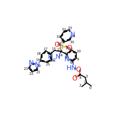 CC(C)CC(=O)ONc1cccc(C(N)(Cc2ccc(-n3cccn3)cc2)S(=O)(=O)c2cccnc2)n1